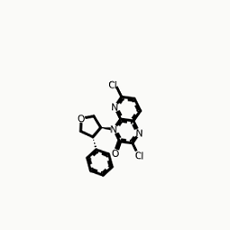 O=c1c(Cl)nc2ccc(Cl)nc2n1[C@@H]1COC[C@H]1c1ccccc1